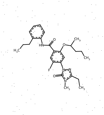 CCCc1ccccc1NC(=O)c1cc(F)c(-n2nc(CC)n(C)c2=O)cc1OC(C)CCC